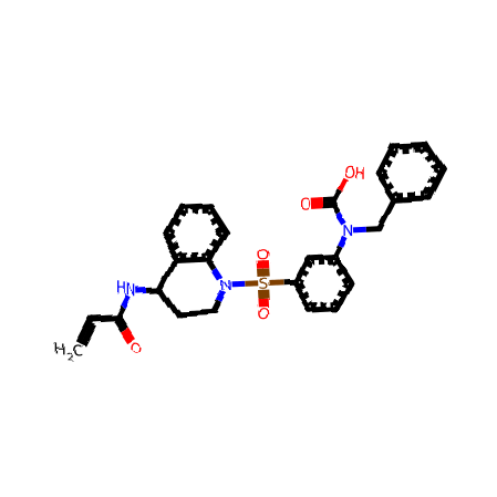 C=CC(=O)NC1CCN(S(=O)(=O)c2cccc(N(Cc3ccccc3)C(=O)O)c2)c2ccccc21